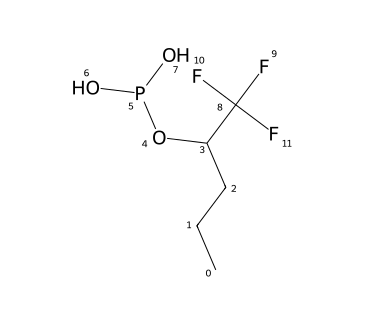 CCCC(OP(O)O)C(F)(F)F